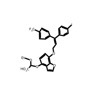 CCOC(Oc1ccc(OCC=C(c2ccc(I)cc2)c2ccc(C(F)(F)F)cc2)c2occc12)C(=O)O